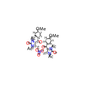 COc1ccc(C(=O)c2c(CO[N+](=O)OCc3c(C(=O)c4ccc(OC)cc4)n(C(C)=O)c(=O)n3C(C)=O)n(C(C)=O)c(=O)n2C(C)=O)cc1